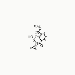 CN(C(=O)[C@H]1CCCN(C(=O)OC(C)(C)C)[C@H]1C(=O)O)C1CC1